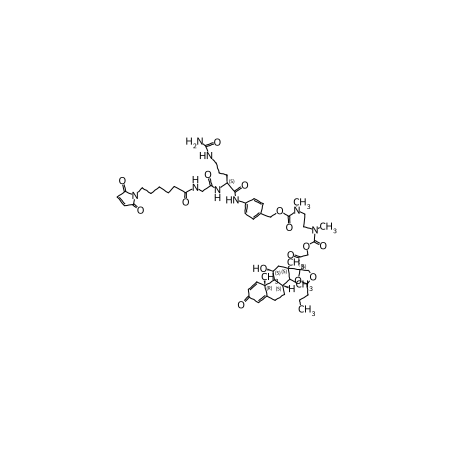 CCCC1OC[C@](C(=O)COC(=O)N(C)CCN(C)C(=O)OCc2ccc(NC(=O)[C@H](CCCNC(N)=O)NC(=O)CNC(=O)CCCCCN3C(=O)C=CC3=O)cc2)([C@@]2(C)C[C@H](O)C3[C@@H](CCC4=CC(=O)C=C[C@@]43C)C2C)O1